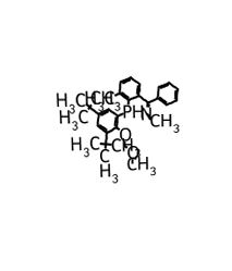 C/N=C(\c1ccccc1)c1cccc(C)c1Pc1cc(C(C)(C)C)cc(C(C)(C)C)c1OCOC